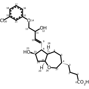 O=C(O)CCC[C@H]1CC[C@@H]2[C@@H](/C=C/C(O)COc3cccc(Cl)c3)[C@H](O)C[C@@H]2OC1